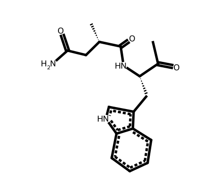 CC(=O)[C@H](Cc1c[nH]c2ccccc12)NC(=O)[C@@H](C)CC(N)=O